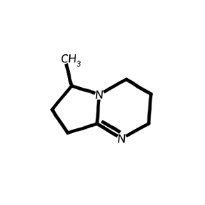 CC1CCC2=NCCCN21